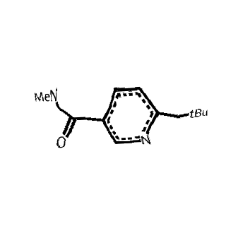 CNC(=O)c1ccc(C(C)(C)C)nc1